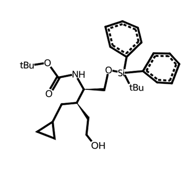 CC(C)(C)OC(=O)N[C@@H](CO[Si](c1ccccc1)(c1ccccc1)C(C)(C)C)[C@@H](CCO)CC1CC1